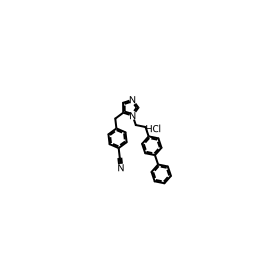 Cl.N#Cc1ccc(Cc2cncn2CCc2ccc(-c3ccccc3)cc2)cc1